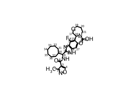 Cc1nocc1C(=O)NC(c1nc2c(F)c(C3COCCCN3C(=O)O)ccc2[nH]1)C1CCCCCCC1